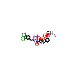 COC(=O)c1cccc(CN2CC(C(=O)NCCCc3ccc(Cl)c(Cl)c3)=C(O)C2=O)c1